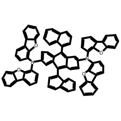 c1ccc2c(-c3c4ccc(N(c5cccc6c5oc5ccccc56)c5cccc6c5oc5ccccc56)cc4c(-c4cccc5ccccc45)c4ccc(N(c5cccc6c5oc5ccccc56)c5cccc6c5oc5ccccc56)cc34)cccc2c1